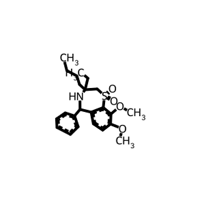 CCCCC1(CC)CS(=O)(=O)c2c(ccc(OC)c2OC)C(c2ccccc2)N1